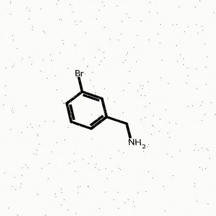 NCc1cc[c]c(Br)c1